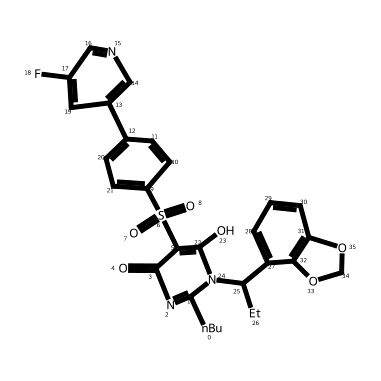 CCCCc1nc(=O)c(S(=O)(=O)c2ccc(-c3cncc(F)c3)cc2)c(O)n1C(CC)c1cccc2c1OCO2